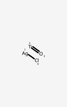 [Cl][Ag].[O]=[Ti]